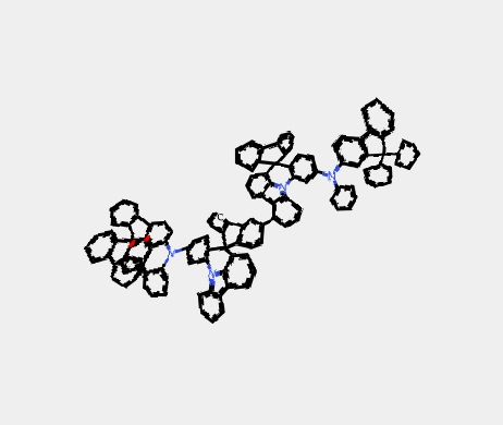 c1ccc(-c2ccccc2N(c2ccc3c(c2)-n2c4ccccc4c4cccc(c42)C32c3ccccc3-c3cc(-c4cccc5c4c4cccc6c4n5-c4cc(N(c5ccccc5)c5ccc7c(c5)C(c5ccccc5)(c5ccccc5)c5ccccc5-7)ccc4C64c5ccccc5-c5ccccc54)ccc32)c2ccc3c(c2)C2(c4ccccc4-c4ccccc42)c2ccccc2-3)cc1